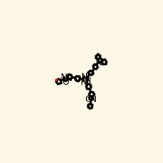 c1ccc(-c2nc3ccc(-c4ccc(-c5nc(-c6ccc(-c7ccc(-n8c9ccccc9c9ccccc98)cc7)cc6)nc(-c6ccc(-c7ccc8nc(-c9ccccc9)oc8c7)cc6)n5)cc4)cc3o2)cc1